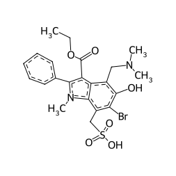 CCOC(=O)c1c(-c2ccccc2)n(C)c2c(CS(=O)(=O)O)c(Br)c(O)c(CN(C)C)c12